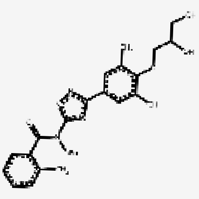 CCCCN(C(=O)c1ccccc1C)c1nnc(-c2cc(C)c(OCC(O)CO)c(C)c2)s1